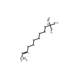 C/C=C/CCCCCCCC(F)(F)F